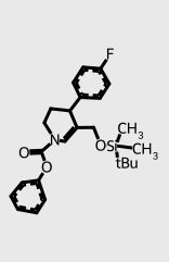 CC(C)(C)[Si](C)(C)OCC1=CN(C(=O)Oc2ccccc2)CCC1c1ccc(F)cc1